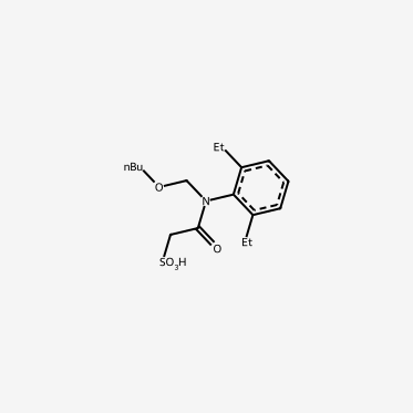 CCCCOCN(C(=O)CS(=O)(=O)O)c1c(CC)cccc1CC